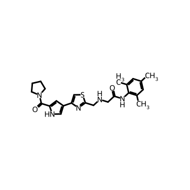 Cc1cc(C)c(NC(=O)CNCc2nc(-c3c[nH]c(C(=O)N4CCCC4)c3)cs2)c(C)c1